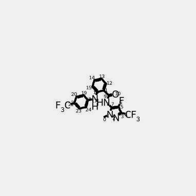 Cn1nc(C(F)(F)F)c(F)c1NC(=O)c1ccccc1Nc1ccc(C(F)(F)F)cc1